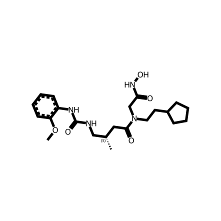 COc1ccccc1NC(=O)NC[C@@H](C)CC(=O)N(CCC1CCCC1)CC(=O)NO